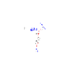 Cc1c(COc2cc(OCc3cncc(C#N)c3)c(CN(C)Cc3ccn(C)n3)cc2Cl)cccc1-c1cccc(OCCCN2CCCC2)c1C